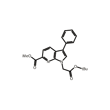 COC(=O)c1ccc2c(-c3ccccc3)cn(CC(=O)OC(C)(C)C)c2n1